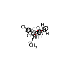 COCCNC(=O)c1ccc(N2[C@@H]3CC[C@H]2C[C@@H](NC(=O)C(C)(C)Oc2ccc(Cl)cc2Cl)C3)nc1